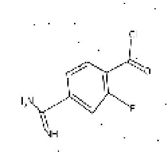 N=C(N)c1ccc(C(=O)Cl)c(F)c1